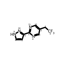 FC(F)(F)Cc1[c]nc(-c2cc[nH]n2)nc1